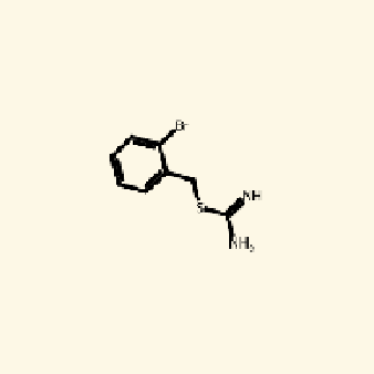 N=C(N)SCc1ccccc1Br